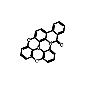 O=c1c2ccccc2c2ccc3c4c2n1-c1cccc2c1B4c1c(cccc1O3)O2